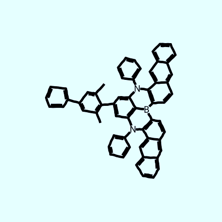 Cc1cc(-c2ccccc2)cc(C)c1-c1cc2c3c(c1)N(c1ccccc1)c1c(ccc4cc5ccccc5cc14)B3c1ccc3cc4ccccc4cc3c1N2c1ccccc1